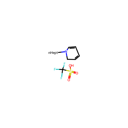 CCCCCCCN1C=CC=CC1.O=S(=O)(O)C(F)(F)F